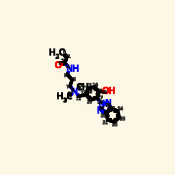 C=CC(=O)NCCC[N+](C)(C)Cc1ccc(O)c(-n2nc3ccccc3n2)c1